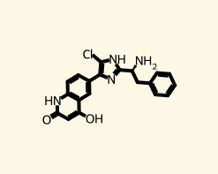 N[C@@H](Cc1ccccc1)c1nc(-c2ccc3[nH]c(=O)cc(O)c3c2)c(Cl)[nH]1